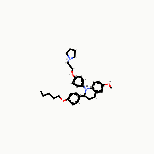 CCCCCOc1ccc(C2CCc3cc(OC)ccc3N2c2ccc(OCCN3CCCC3)cc2)cc1